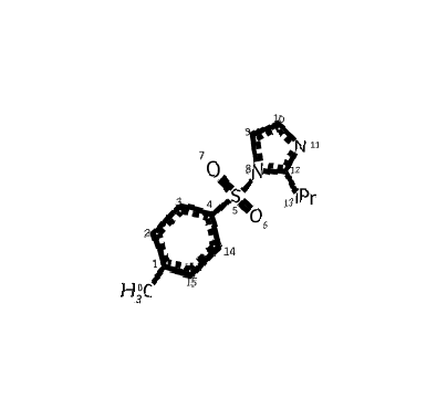 Cc1ccc(S(=O)(=O)n2ccnc2C(C)C)cc1